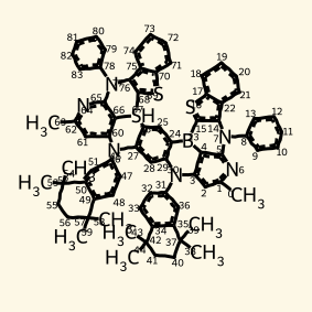 Cc1cc2c3c(n1)N(c1ccccc1)c1c(sc4ccccc14)B3c1cc3c(cc1N2c1ccc2c(c1)C(C)(C)CCC2(C)C)N(c1ccc2c(c1)C(C)(C)CCC2(C)C)c1cc(C)nc2c1[SH]3c1sc3ccccc3c1N2c1ccccc1